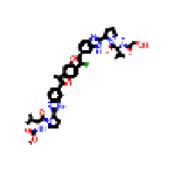 COC(=O)N[C@@H](C(=O)N1CCCC1c1nc2ccc(-c3oc4cc5c(F)c(-c6ccc7nc(C8CCCN8C(=O)[C@@H](NC(=O)CO)C(C)C)[nH]c7c6)oc5cc4c3C)cc2[nH]1)C(C)C